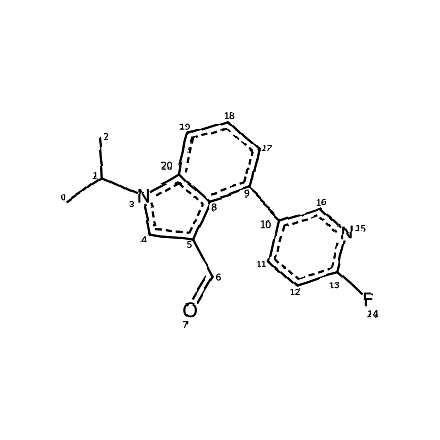 CC(C)n1cc(C=O)c2c(-c3ccc(F)nc3)cccc21